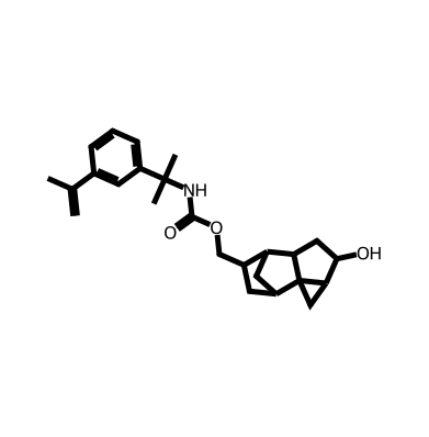 C=C(C)c1cccc(C(C)(C)NC(=O)OCC2CC3CC2C2CC(O)C4CC342)c1